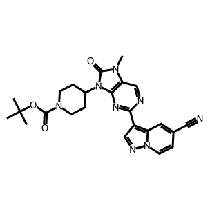 Cn1c(=O)n(C2CCN(C(=O)OC(C)(C)C)CC2)c2nc(-c3cnn4ccc(C#N)cc34)ncc21